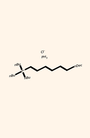 CCCCCCCCCCCCCCCC[P+](CCCC)(CCCC)CCCC.P.[Cl-]